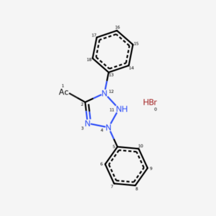 Br.CC(=O)C1=NN(c2ccccc2)NN1c1ccccc1